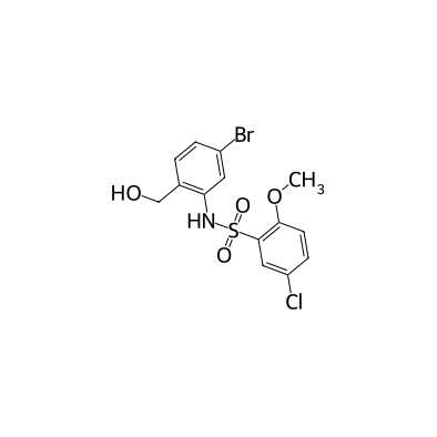 COc1ccc(Cl)cc1S(=O)(=O)Nc1cc(Br)ccc1CO